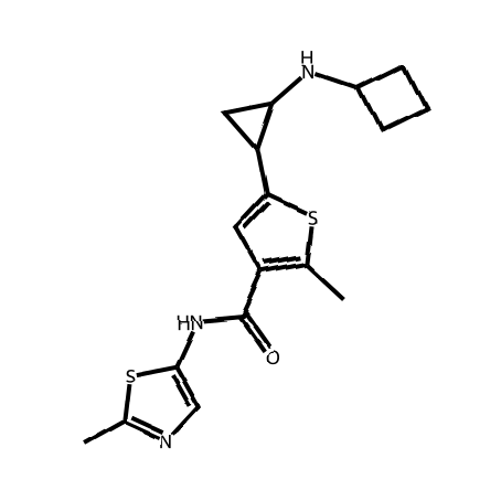 Cc1ncc(NC(=O)c2cc(C3CC3NC3CCC3)sc2C)s1